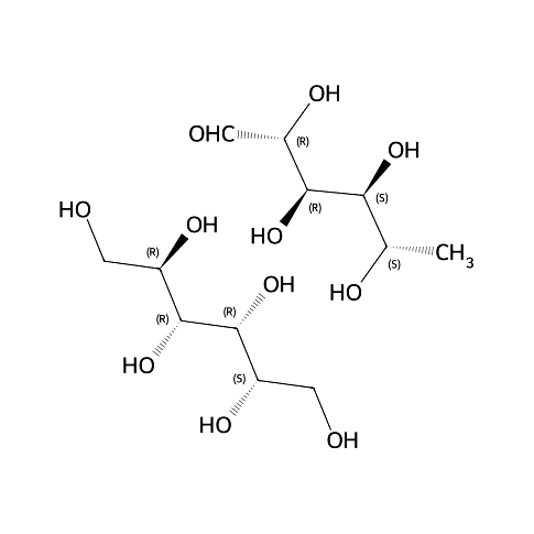 C[C@H](O)[C@H](O)[C@@H](O)[C@@H](O)C=O.OC[C@@H](O)[C@@H](O)[C@H](O)[C@@H](O)CO